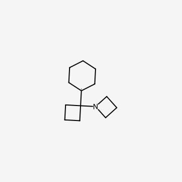 C1CC[C](C2(N3CCC3)CCC2)CC1